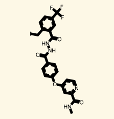 CNC(=O)c1cc(Oc2ccc(C(=O)NNC(=O)c3cc(C(F)(F)F)ccc3CI)cc2)ccn1